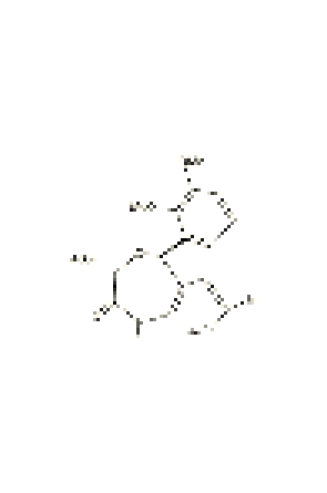 COc1cccc([C@@H]2O[C@@H](OC(C)=O)C(=O)Nc3ccc(Br)cc32)c1OC